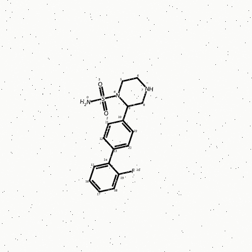 NS(=O)(=O)N1CCNCC1c1ccc(-c2ccccc2F)cc1